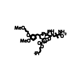 COCCCOc1cc(C[C@H](C[C@H]2[C@H](C[C@H](C(=O)NCC(C)(C)C(N)=O)C(C)C)OCN2C(=O)OCC[C](C)C)C(C)C)ccc1OC